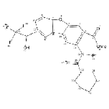 COC(=O)c1cc2oc3ccc(C(O)C(F)(F)C(F)(F)F)cc3c2cc1N(C(=O)C1CCCCC1)C(C)C